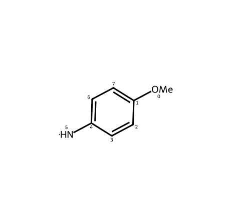 COc1ccc([NH])cc1